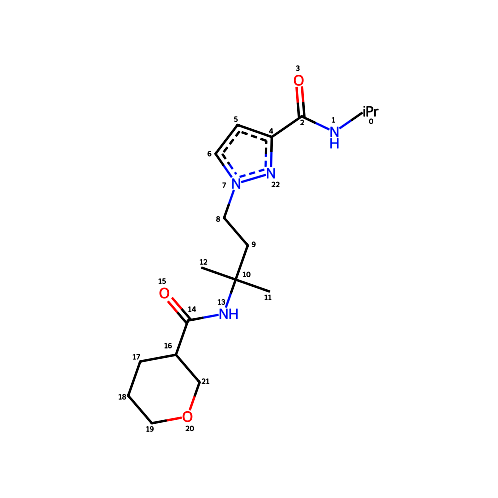 CC(C)NC(=O)c1ccn(CCC(C)(C)NC(=O)C2CCCOC2)n1